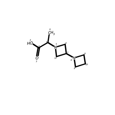 CC(C(=O)O)N1CC(N2CCC2)C1